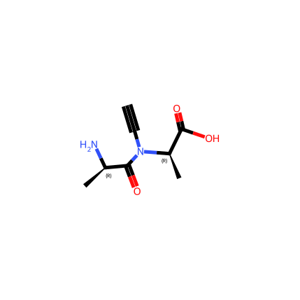 C#CN(C(=O)[C@@H](C)N)[C@H](C)C(=O)O